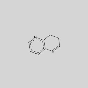 C1=Nc2cccnc2CC1